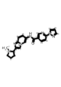 CN1CCCC1c1cn2cc(NC(=O)c3ccc(-n4cccn4)nc3)ccc2n1